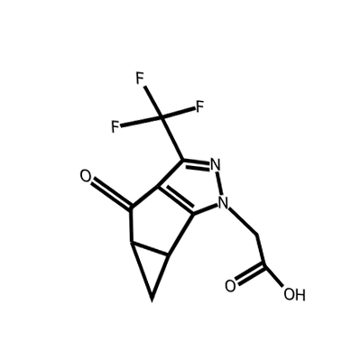 O=C(O)Cn1nc(C(F)(F)F)c2c1C1CC1C2=O